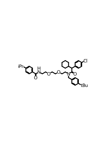 CC(C)c1ccc(C(=O)NCCOCCOCCN(Cc2ccc(C(C)(C)C)cc2)C(=O)C(c2ccc(Cl)cc2)C2CCCCC2)cc1